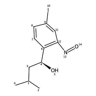 CC(C)C[C@H](O)c1ccc(I)cc1N=O